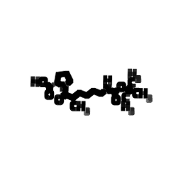 C[C@@H](CCCCNC(=O)OC(C)(C)C)C(=O)N1CCC[C@H]1C(=O)O